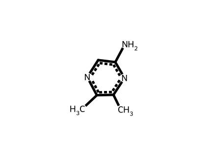 Cc1ncc(N)nc1C